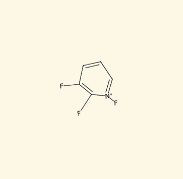 Fc1ccc[n+](F)c1F